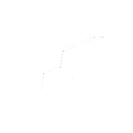 C=C=CC(F)=C(F)F